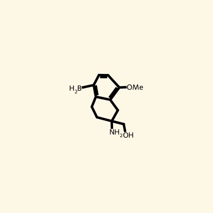 Bc1ccc(OC)c2c1CCC(N)(CO)C2